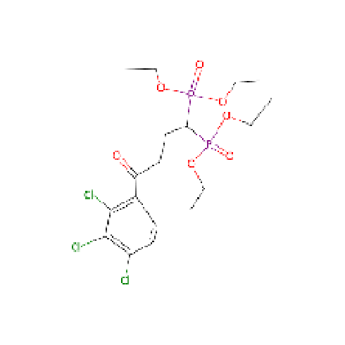 CCOP(=O)(OCC)C(CCC(=O)c1ccc(Cl)c(Cl)c1Cl)P(=O)(OCC)OCC